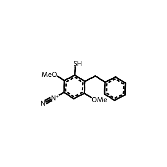 COc1cc([N+]#N)c(OC)c(S)c1Cc1ccccc1